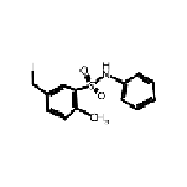 Cc1ccc(CI)cc1S(=O)(=O)Nc1ccccc1